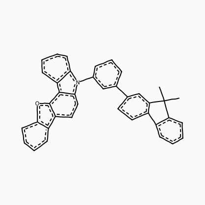 CC1(C)c2ccccc2-c2ccc(-c3cccc(-n4c5ccccc5c5c6oc7ccccc7c6ccc54)c3)cc21